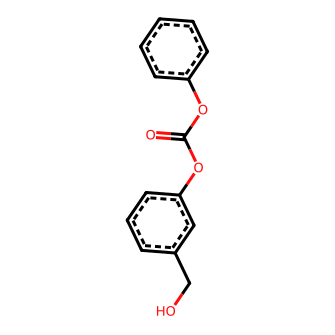 O=C(Oc1ccccc1)Oc1cccc(CO)c1